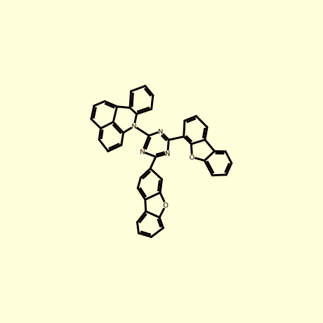 c1ccc2c(c1)-c1cccc3cccc(c13)N2c1nc(-c2ccc3c(c2)oc2ccccc23)nc(-c2cccc3c2oc2ccccc23)n1